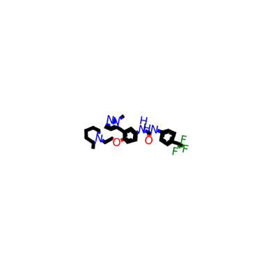 CC1CCCCN1CCOc1ccc(NC(=O)Nc2ccc(C(F)(F)F)cc2)cc1-c1ccnn1C